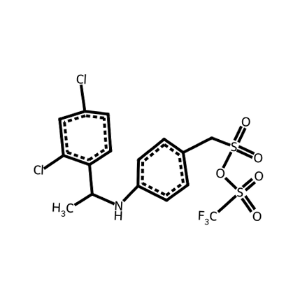 CC(Nc1ccc(CS(=O)(=O)OS(=O)(=O)C(F)(F)F)cc1)c1ccc(Cl)cc1Cl